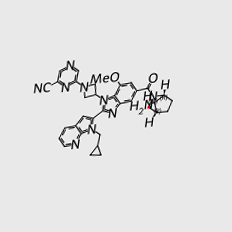 COc1cc(C(=O)N2C[C@H]3CC[C@@H]2[C@@H]3N)cc2nc(-c3cc4cccnc4n3CC3CC3)n(C3CN(c4cncc(C#N)n4)C3)c12